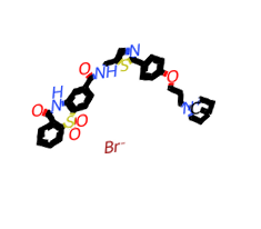 O=C(NCc1cnc(-c2ccc(OCCC[N+]34CCC(CC3)CC4)cc2)s1)c1ccc2c(c1)NC(=O)c1ccccc1S2(=O)=O.[Br-]